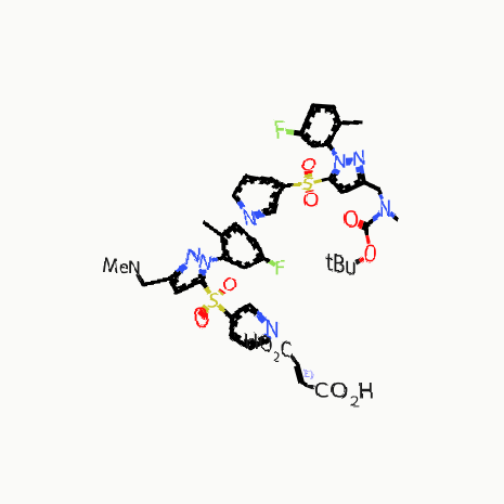 CNCc1cc(S(=O)(=O)c2cccnc2)n(-c2cc(F)ccc2C)n1.Cc1ccc(F)cc1-n1nc(CN(C)C(=O)OC(C)(C)C)cc1S(=O)(=O)c1cccnc1.O=C(O)/C=C/C(=O)O